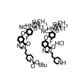 CCN(C)S(=O)(=O)Nc1ccc(F)c(Oc2ccc3ncn(CCC4CCN(C(=O)OC(C)(C)C)CC4)c(=O)c3c2)c1C#N.CCN(C)S(=O)(=O)Nc1ccc(F)c(Oc2ccc3ncn(CCC4CCNCC4)c(=O)c3c2)c1C#N.Cl